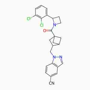 N#Cc1ccc2c(cnn2CC2CC3(C(=O)N4CCC4c4cccc(Cl)c4Cl)CC2C3)c1